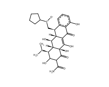 CN(C)[C@@H]1C(O)C(C(N)=O)C(=O)[C@@]2(O)C(O)=C3C(=O)c4c(O)cccc4[C@H](C[S+]([O-])C4CCCC4)[C@H]3[C@H](O)[C@@H]12